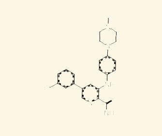 CN1CCN(c2ccc(Nc3cc(-c4cccc(Cl)c4)cnc3C(N)=O)cc2)CC1